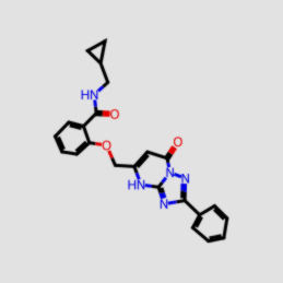 O=C(NCC1CC1)c1ccccc1OCc1cc(=O)n2nc(-c3ccccc3)nc2[nH]1